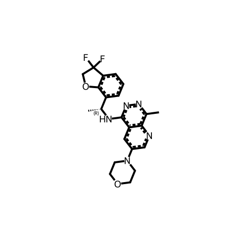 Cc1nnc(N[C@H](C)c2cccc3c2OCC3(F)F)c2cc(N3CCOCC3)cnc12